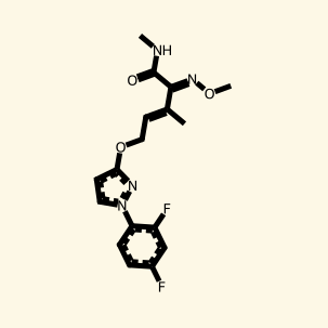 CNC(=O)C(=N/OC)/C(C)=C/COc1ccn(-c2ccc(F)cc2F)n1